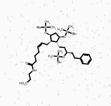 CC(C)(C)[Si](C)(C)O[C@H](CCc1ccccc1)CC[C@@H]1[C@@H](C/C=C\CCCC(=O)NCCC(=O)O)[C@@H](O[Si](C)(C)C(C)(C)C)C[C@H]1O[Si](C)(C)C(C)(C)C